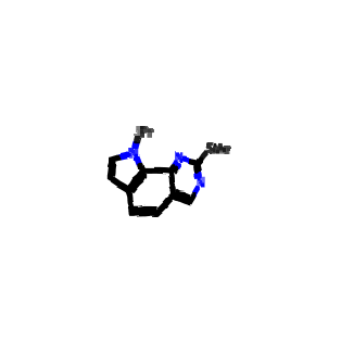 CSc1ncc2ccc3ccn(C(C)C)c3c2n1